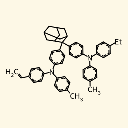 C=Cc1ccc(N(c2ccc(C)cc2)c2ccc(C3(c4ccc(N(c5ccc(C)cc5)c5ccc(CC)cc5)cc4)C4CC5CC(C4)CC3C5)cc2)cc1